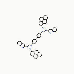 C1=CC2=CC=C3C=CC(c4nc(-c5ccc(-c6ccc(-c7cc(-c8cnc9ccccc9c8)nc(-c8ccc9ccc%10cccc%11ccc8c9c%10%11)n7)cc6)cc5)cc(-c5cnc6ccccc6c5)n4)=C4C=CC(=C1)C2C34